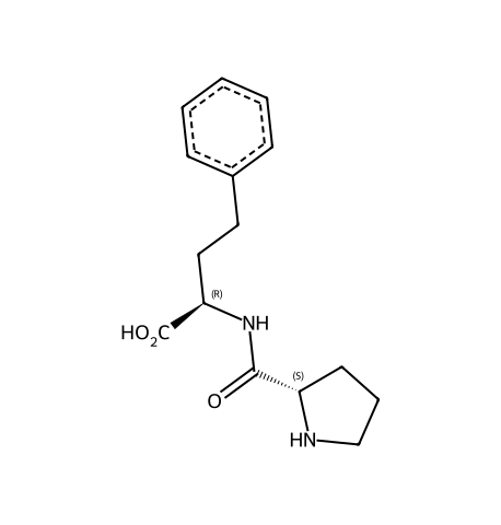 O=C(N[C@H](CCc1ccccc1)C(=O)O)[C@@H]1CCCN1